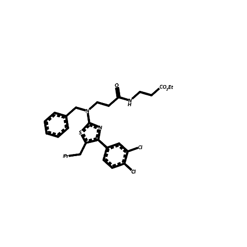 CCOC(=O)CCNC(=O)CCN(Cc1ccccc1)c1nc(-c2ccc(Cl)c(Cl)c2)c(CC(C)C)s1